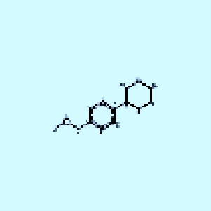 COCc1ccc(C2CCCCC2)cc1